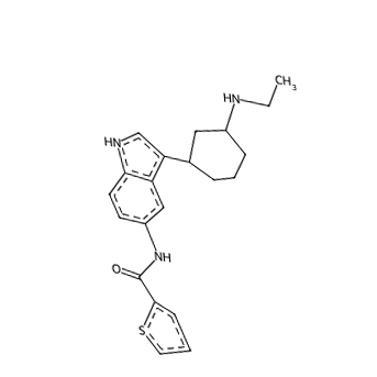 CCNC1CCCC(c2c[nH]c3ccc(NC(=O)c4cccs4)cc23)C1